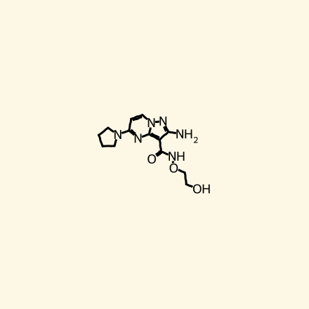 Nc1nn2ccc(N3CCCC3)nc2c1C(=O)NOCCO